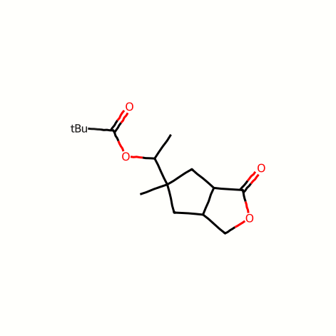 CC(OC(=O)C(C)(C)C)C1(C)CC2COC(=O)C2C1